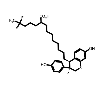 C[C@@]1(c2ccc(O)cc2)CSc2cc(O)ccc2[C@@H]1CCCCCCCCC(CCCC(F)(F)C(F)(F)F)C(=O)O